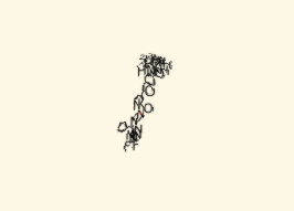 [2H]C([2H])([2H])C(C(=O)Nc1ccc2oc(-c3ccnc(C(=O)N4CCN([C@@H](c5ccccc5)c5nnn(C(F)F)n5)CC4)c3)cc2c1)C([2H])([2H])[2H]